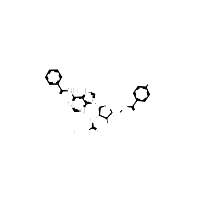 CC(=O)O[C@@H]1[C@H](F)[C@@H](COC(=O)c2ccc(C)cc2)O[C@H]1n1cnc2c(NC(=O)c3ccccc3)ncnc21